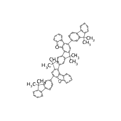 CC1(C)c2ccccc2-c2ccc(-c3cc4c(c5c3oc3ccccc35)-c3cc5c(cc3C4(C)C)-c3c(cc(-c4ccc6c(c4)C(C)(C)c4ccccc4-6)c4c3oc3ccccc34)C5(C)C)cc21